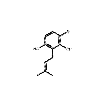 CC(C)=CCc1c(O)ccc(Br)c1O